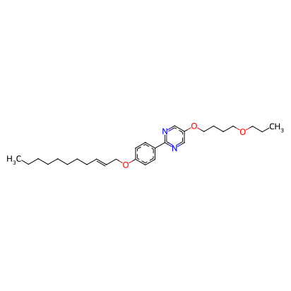 CCCCCCCCC=CCOc1ccc(-c2ncc(OCCCCOCCC)cn2)cc1